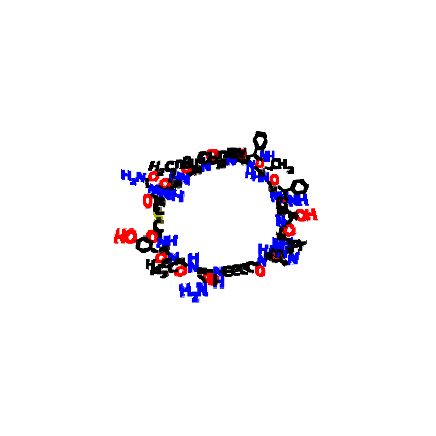 C=CC[C@@H]1NC(=O)[C@H](Cc2c[nH]c3ccccc23)NC(=O)[C@@H]2C[C@@H](O)CN2C(=O)[C@H](CC(C)C)NC(=O)[C@H](Cc2cnc[nH]2)NC(=O)CCCCNC(=O)[C@H](CC(N)=O)NC(=O)[C@H](C)N(C)C(=O)[C@H](Cc2ccc(O)cc2)NC(=O)CSC[C@@H](C(=O)NCC(N)=O)NC(=O)[C@H](CC=C)NC(=O)[C@H](CCCC)N(C)C(=O)[C@H](CCCC)N(C)C(=O)[C@H](Cc2c[nH]c3ccccc23)NC1=O